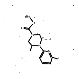 CC1CN(C(=O)OC(C)(C)C)C[C@H](C)N1c1cccc(F)n1